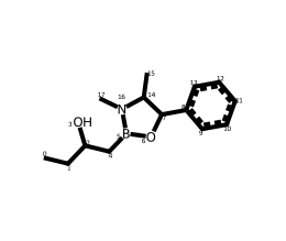 CCC(O)CB1OC(c2ccccc2)C(C)N1C